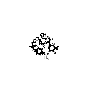 Cc1ccc(CC(F)(F)CO)cc1NC1=NC(=O)N(C)C2=NCC(c3cc(F)c(F)c(F)c3)N12